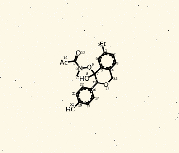 CCc1ccc2c(c1)C(O)(ON(C)C(=O)C(C)=O)C(c1ccc(O)cc1)OC2